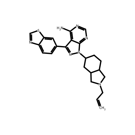 C=CCN1CC2CCC(n3nc(-c4ccc5ncsc5c4)c4c(N)ncnc43)CC2C1